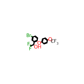 OC(c1cc(Br)ccc1Oc1ccc(OC(F)(F)F)cc1)C(F)F